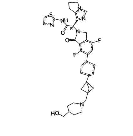 O=C(Nc1nccs1)[C@@H](c1ncn2c1CCC2)N1Cc2c(F)cc(-c3ccc(C45CC(CN6CCC(CO)CC6)(C4)C5)cc3)c(F)c2C1=O